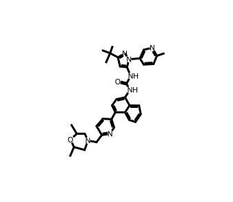 Cc1ccc(-n2nc(C(C)(C)C)cc2NC(=O)Nc2ccc(-c3ccc(CN4CC(C)OC(C)C4)nc3)c3ccccc23)cn1